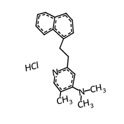 Cc1cnc(CCc2cccc3ccccc23)cc1N(C)C.Cl